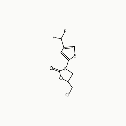 O=C1OC(CCl)CN1c1cc(C(F)F)cs1